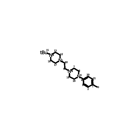 Cc1ccc(N2CCN(CCN3CCN(C(C)(C)C)CC3)CC2)cc1